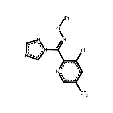 CC(C)ON=C(c1ncc(C(F)(F)F)cc1Cl)n1cncn1